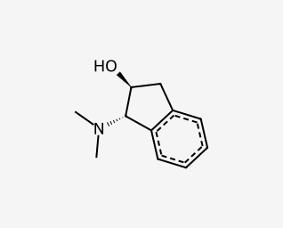 CN(C)[C@H]1c2ccccc2C[C@@H]1O